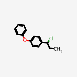 CCC(Cl)c1ccc(Oc2ccccc2)cc1